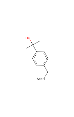 CC(=O)NCc1ccc(C(C)(C)O)cc1